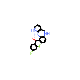 O=C(c1ccc(F)cc1F)c1cccc2c1NC1=C(C=CCN1)CN2